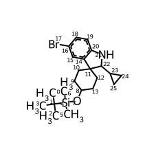 CC(C)(C)[Si](C)(C)OC1CCC2(CC1)c1cc(Br)ccc1NC2C1CC1